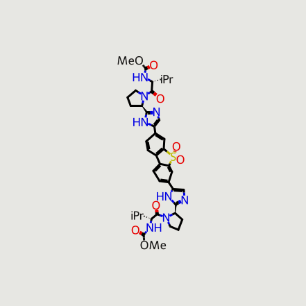 COC(=O)N[C@@H](C(=O)N1CCC[C@@H]1c1ncc(-c2ccc3c(c2)S(=O)(=O)c2cc(-c4cnc([C@H]5CCCN5C(=O)[C@H](NC(=O)OC)C(C)C)[nH]4)ccc2-3)[nH]1)C(C)C